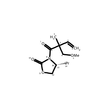 C=CC(C)(COC)C(=O)N1C(=O)OC[C@H]1C(C)C